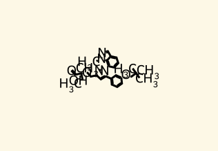 CCC(C)(OCc1cc(-c2cccc(OCC(C)(C)C)c2)n(-c2cccc3cnn(C)c23)n1)C(=O)O